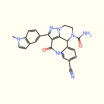 Cn1ccc2cc(-c3nn4c(c3C(N)=O)C(c3ccc(C#N)cc3)N(C(N)=O)CC4)ccc21